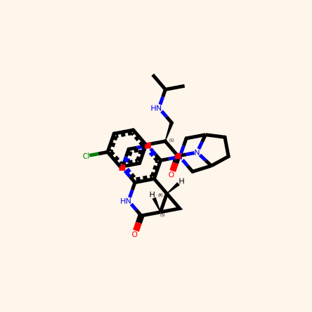 CC(C)NC[C@@H](C(=O)N1C2CCC1CN(c1ncnc3c1[C@@H]1C[C@@H]1C(=O)N3)C2)c1ccc(Cl)cc1